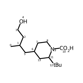 CC(CCO)CC1CCN(C(=O)O)C(C(C)(C)C)C1